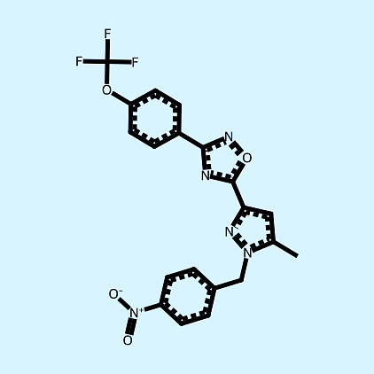 Cc1cc(-c2nc(-c3ccc(OC(F)(F)F)cc3)no2)nn1Cc1ccc([N+](=O)[O-])cc1